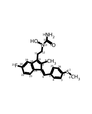 CSc1ccc(C=C2C(C)=C(CCN(O)C(N)=O)c3cc(F)ccc32)cc1